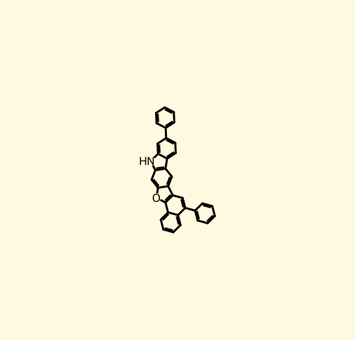 c1ccc(-c2ccc3c(c2)[nH]c2cc4oc5c6ccccc6c(-c6ccccc6)cc5c4cc23)cc1